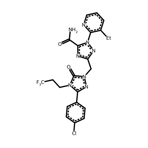 CCc1cccnc1-n1nc(Cn2nc(-c3ccc(Cl)cc3)n(CCC(F)(F)F)c2=O)nc1C(N)=O